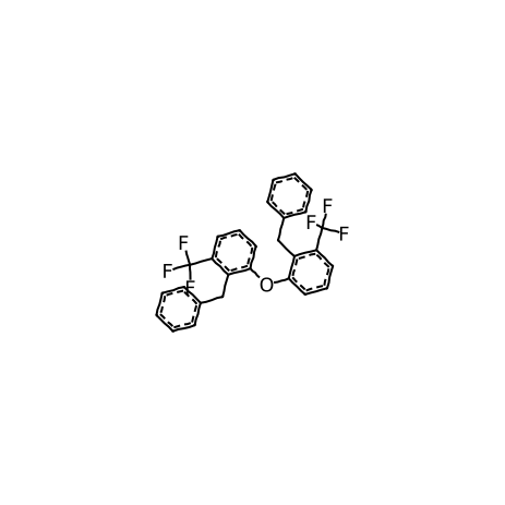 FC(F)(F)c1cccc(Oc2cccc(C(F)(F)F)c2Cc2ccccc2)c1Cc1ccccc1